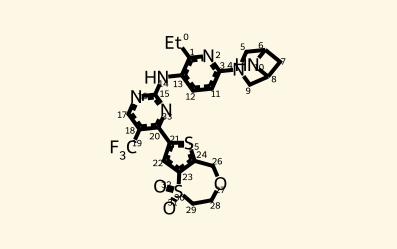 CCc1nc(N2CC3CC(C2)N3)ccc1Nc1ncc(C(F)(F)F)c(-c2cc3c(s2)COCCS3(=O)=O)n1